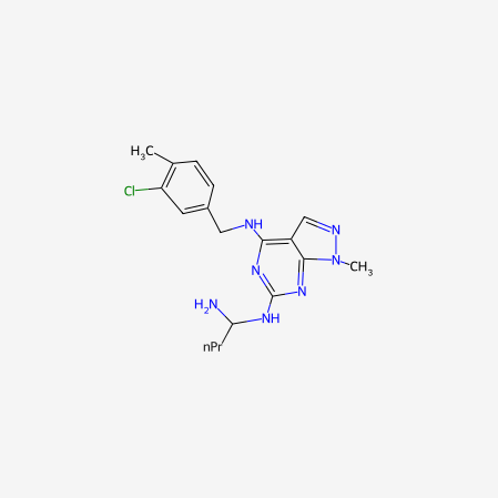 CCCC(N)Nc1nc(NCc2ccc(C)c(Cl)c2)c2cnn(C)c2n1